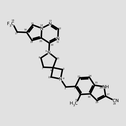 Cc1c(CN2CC3(CCN(c4ncnn5cc(CC(F)(F)F)cc45)C3)C2)ccc2[nH]c(C#N)cc12